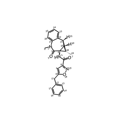 CN1C(=O)[C@]2(NC(=O)c3cc(Cc4ccccc4)on3)[C@@H]3[C@H](c4ccccc41)[C@]32C